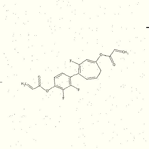 C=CC(=O)OC1=CC(F)=C(c2ccc(OC(=O)C=C)c(F)c2F)C=CC1